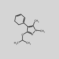 Cc1c(C2=CC=CCC2)c(OC(C)C)nn1C